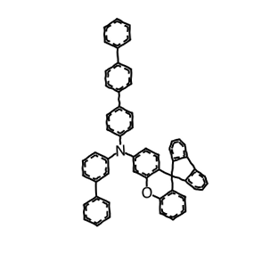 c1ccc(-c2ccc(-c3ccc(N(c4cccc(-c5ccccc5)c4)c4ccc5c(c4)Oc4ccccc4C54c5ccccc5-c5ccccc54)cc3)cc2)cc1